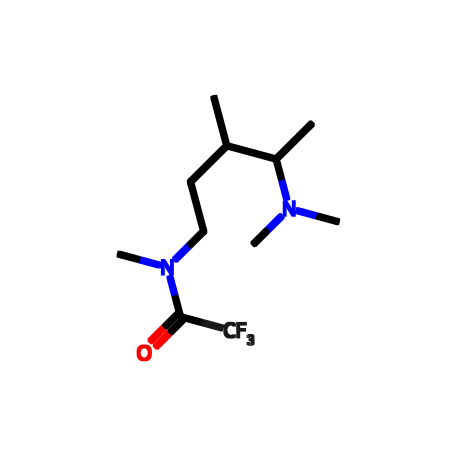 CC(CCN(C)C(=O)C(F)(F)F)C(C)N(C)C